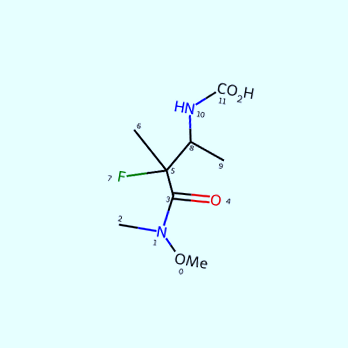 CON(C)C(=O)C(C)(F)C(C)NC(=O)O